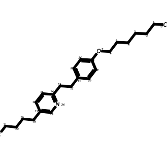 CCCCCCCOc1ccc(CCc2ccc(CCCCC)cn2)cc1